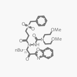 CCCC[C@@H](C(=O)c1nc2ccccc2o1)N(NC(=O)N(CCOC)CCOC)C(=O)CCS(=O)(=O)Cc1ccccc1